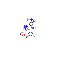 Brc1cc(Br)cc(C(Nc2ccc3[nH]cnc3c2)c2nnnn2CC2CCCO2)c1